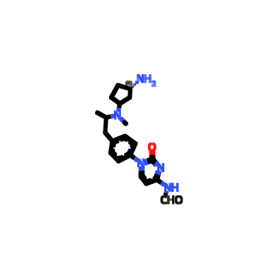 CC(Cc1ccc(-n2ccc(NC=O)nc2=O)cc1)N(C)C1CC[C@H](N)C1